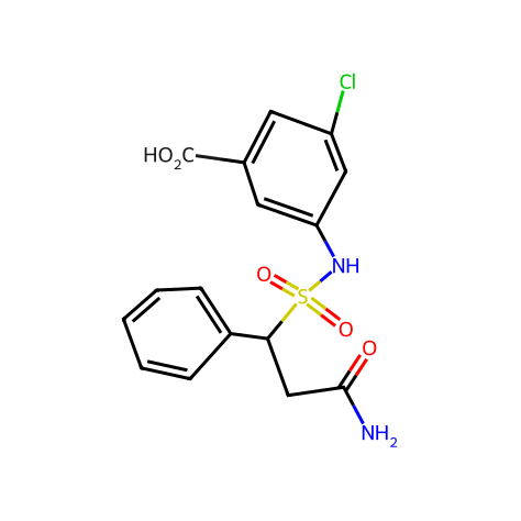 NC(=O)CC(c1ccccc1)S(=O)(=O)Nc1cc(Cl)cc(C(=O)O)c1